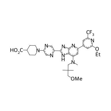 CCOc1cc(-c2cc(N(C)CC(C)(C)COC)c3[nH]c(-c4cnc(N5CCC(C(=O)O)CC5)cn4)nc3n2)cc(C(F)(F)F)n1